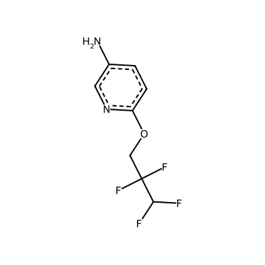 Nc1ccc(OCC(F)(F)C(F)F)nc1